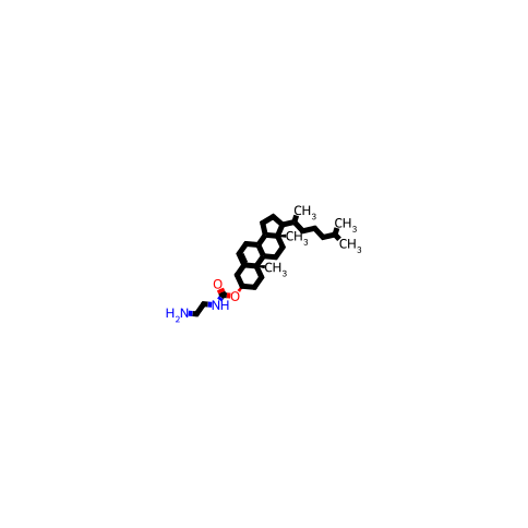 CC(C)CCCC(C)C1CCC2C3CC=C4C[C@H](OC(=O)NCCN)CC[C@@]4(C)C3CC[C@@]12C